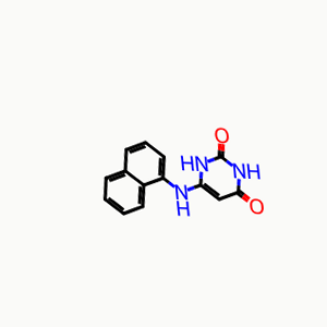 O=c1cc(Nc2cccc3ccccc23)[nH]c(=O)[nH]1